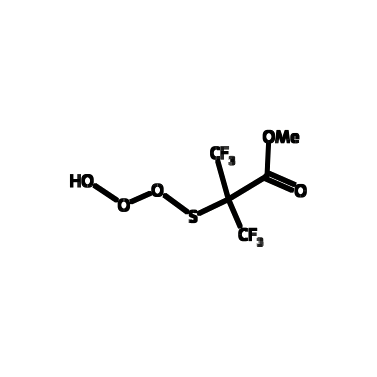 COC(=O)C(SOOO)(C(F)(F)F)C(F)(F)F